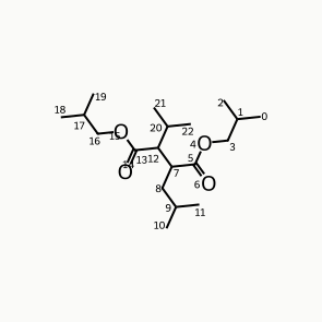 CC(C)COC(=O)C(CC(C)C)C(C(=O)OCC(C)C)C(C)C